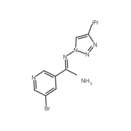 CC(=Nn1cc(C(C)C)nn1)c1cncc(Br)c1.N